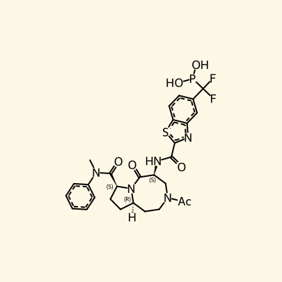 CC(=O)N1CC[C@H]2CC[C@@H](C(=O)N(C)c3ccccc3)N2C(=O)[C@@H](NC(=O)c2nc3cc(C(F)(F)P(O)O)ccc3s2)C1